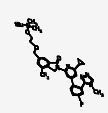 Cn1cnnc1-c1cc(F)ccc1-c1cc(C2CC2)nc(N2Cc3c(cc(COCCO[Si](C)(C)C(C)(C)C)cc3C(F)(F)F)C2=O)c1